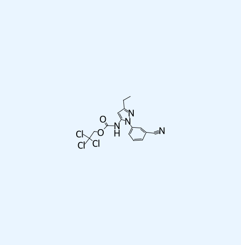 CCc1cc(NC(=O)OCC(Cl)(Cl)Cl)n(-c2cccc(C#N)c2)n1